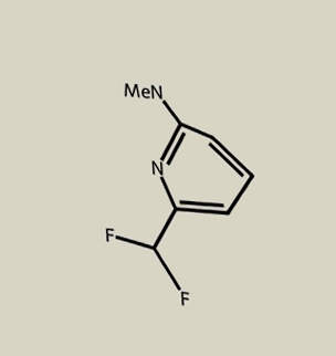 CNc1cccc(C(F)F)n1